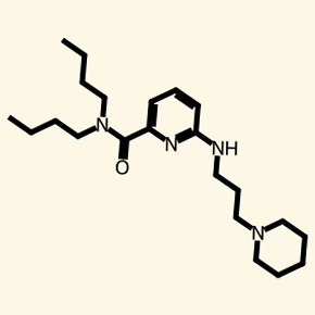 CCCCN(CCCC)C(=O)c1cccc(NCCCN2CCCCC2)n1